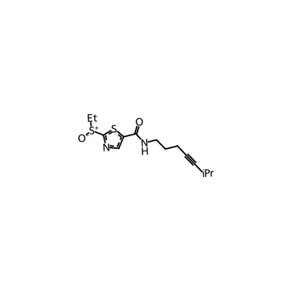 CC[S+]([O-])c1ncc(C(=O)NCCCC#CC(C)C)s1